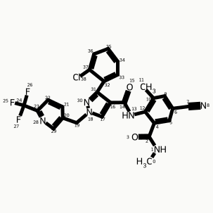 CNC(=O)c1cc(C#N)cc(C)c1NC(=O)c1cn(Cc2ccc(C(F)(F)F)nc2)nc1-c1ccccc1Cl